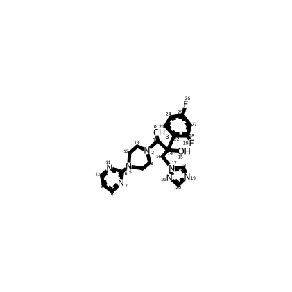 CC(N1CCN(c2ncccn2)CC1)C(O)(Cn1cncn1)c1ccc(F)cc1F